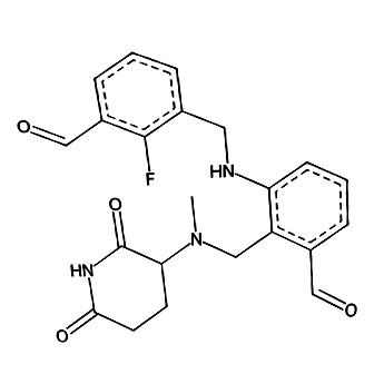 CN(Cc1c(C=O)cccc1NCc1cccc(C=O)c1F)C1CCC(=O)NC1=O